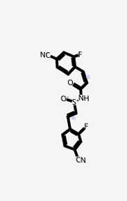 N#Cc1ccc(/C=C\C(=O)N[S+]([O-])/C=C/c2ccc(C#N)cc2F)c(F)c1